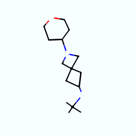 CC(C)(C)NC1CC2(C1)CN(C1CCOCC1)C2